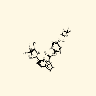 C[C@@H](NC(O)c1ccc2c(n1)N(C(=O)Nc1ncc(OC[C@@H]3COC(C)(C)O3)cn1)C1CCN2C1)C(F)(F)F